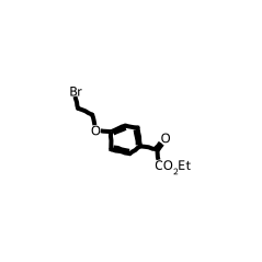 CCOC(=O)C(=O)c1ccc(OCCBr)cc1